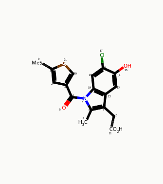 CSc1cc(C(=O)n2c(C)c(CC(=O)O)c3cc(O)c(Cl)cc32)cs1